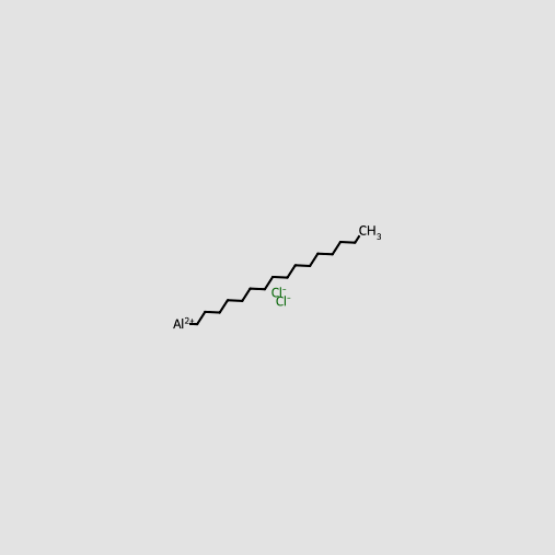 CCCCCCCCCCCCCCC[CH2][Al+2].[Cl-].[Cl-]